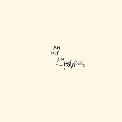 CC(=O)O.Cl.Cl.[CaH2].[KH].[LiH]